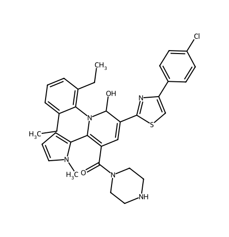 CCc1cccc(CC)c1N1C(c2cccn2C)=C(C(=O)N2CCNCC2)C=C(c2nc(-c3ccc(Cl)cc3)cs2)C1O